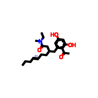 CCC/C=C/CCC(CC(=O)N(C)CC)Cc1cc(O)cc(O)c1C(C)=O